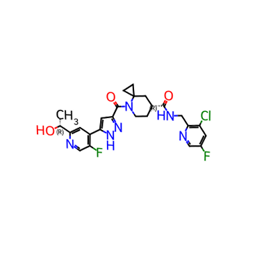 C[C@@H](O)c1cc(-c2cc(C(=O)N3CC[C@@H](C(=O)NCc4ncc(F)cc4Cl)CC34CC4)n[nH]2)c(F)cn1